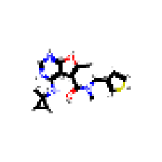 Cc1oc2ncnc(NC3(C)CC3)c2c1C(=O)N(C)Cc1ccsc1